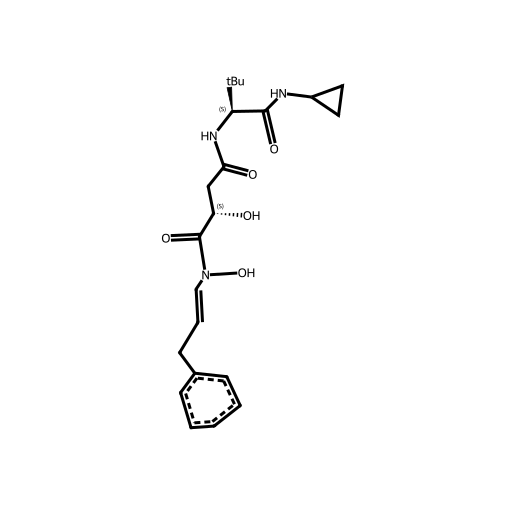 CC(C)(C)[C@H](NC(=O)C[C@H](O)C(=O)N(O)C=CCc1ccccc1)C(=O)NC1CC1